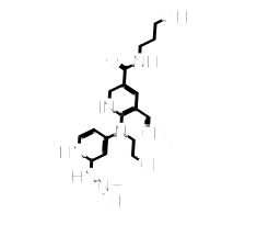 C=CC1=C(N(CCC)C2=CC(NNC)NC=C2)NCC(C(=O)NCCCC)=C1